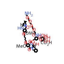 COc1cc2c(cc1OCCCCCOc1cc3c(cc1OC)C(=O)N1Cc4ccccc4C[C@H]1[C@H](O)N3C(=O)OCc1ccc(O[C@@H]3O[C@H](C(=O)O)[C@@H](O)[C@H](O)[C@H]3O)c(NC(=O)CCOCCOCCOCCOCCN)c1)NC[C@@H]1CC3(CC3)CN1C2=O